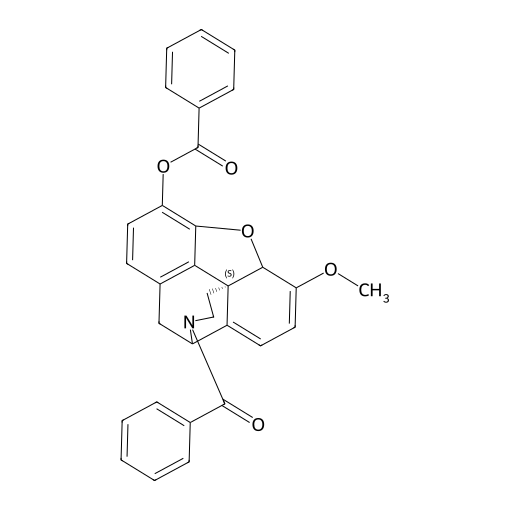 COC1=CC=C2C3Cc4ccc(OC(=O)c5ccccc5)c5c4[C@@]2(CCN3C(=O)c2ccccc2)C1O5